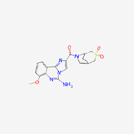 COc1cccc2c1nc(N)n1cc(C(=O)N3CC4CC3CS(=O)(=O)C4)nc21